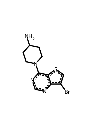 NC1CCN(c2ncnc3c(Br)csc23)CC1